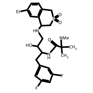 CCc1ccc2c(c1)C(NCC(O)C(Cc1cc(F)cc(F)c1)NC(=O)C(C)(C)NC)CS(=O)(=O)C2